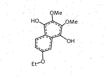 CCOc1ccc2c(O)c(OC)c(OC)c(O)c2c1